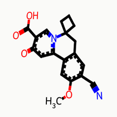 COc1cc2c(cc1C#N)CC1(CCC1)n1cc(C(=O)O)c(=O)cc1-2